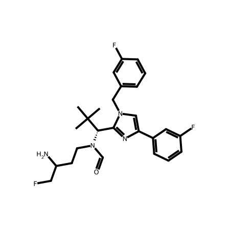 CC(C)(C)[C@H](c1nc(-c2cccc(F)c2)cn1Cc1cccc(F)c1)N(C=O)CCC(N)CF